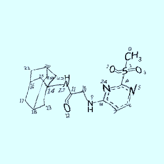 CS(=O)(=O)c1nccc(NCC(=O)NC23CC4CC(CC(C4)C2)C3)n1